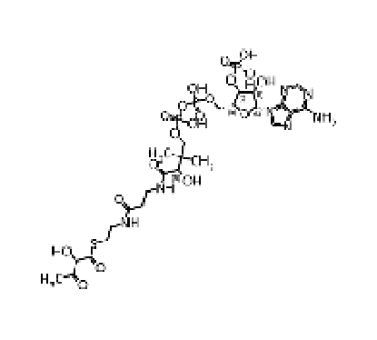 CC(=O)C(O)C(=O)SCCNC(=O)CCNC(=O)[C@H](O)C(C)(C)COP(=O)(O)OP(=O)(O)OC[C@H]1O[C@@H](n2cnc3c(N)ncnc32)[C@H](O)[C@@H]1OP(=O)(O)O